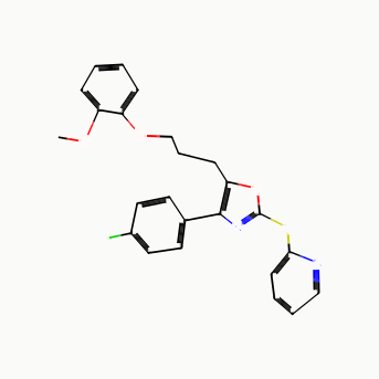 COc1ccccc1OCCCc1oc(Sc2ccccn2)nc1-c1ccc(Cl)cc1